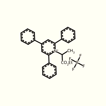 CCOC(=O)C(C)[n+]1c(-c2ccccc2)cc(-c2ccccc2)cc1-c1ccccc1.F[B-](F)(F)F